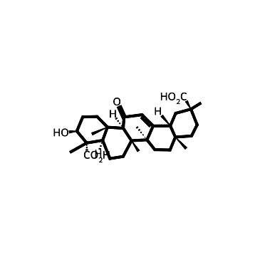 C[C@]1(C(=O)O)CC[C@]2(C)CC[C@]3(C)C(=CC(=O)[C@@H]4[C@@]5(C)CC[C@H](O)[C@@](C)(C(=O)O)[C@@H]5CC[C@]43C)[C@@H]2C1